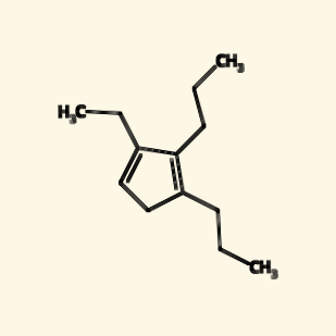 CCCC1=C(CCC)C(CC)=CC1